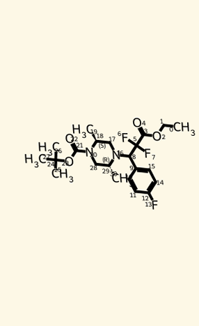 CCOC(=O)C(F)(F)C(c1ccc(F)cc1)N1C[C@H](C)N(C(=O)OC(C)(C)C)C[C@H]1C